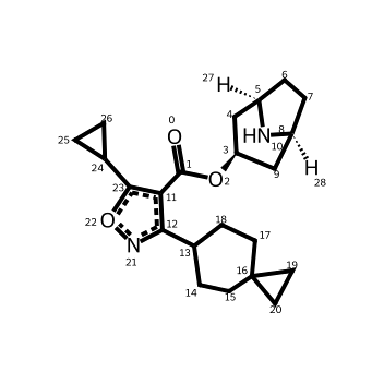 O=C(O[C@H]1C[C@H]2CC[C@@H](C1)N2)c1c(C2CCC3(CC2)CC3)noc1C1CC1